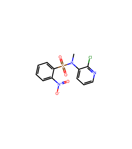 CN(c1cccnc1Cl)S(=O)(=O)c1ccccc1[N+](=O)[O-]